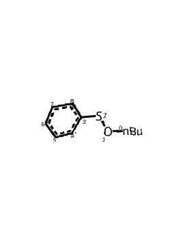 CCCCOSc1[c]cccc1